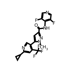 Cn1nc(C(=O)Nc2c(F)cncc2F)cc1-c1cnc(C2CC2)cc1C(F)(F)F